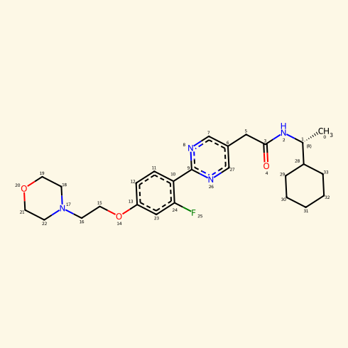 C[C@@H](NC(=O)Cc1cnc(-c2ccc(OCCN3CCOCC3)cc2F)nc1)C1CCCCC1